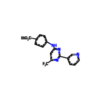 CCOC(=O)c1ccc(Nc2cc(C(F)(F)F)nc(-c3cccnc3)n2)cc1